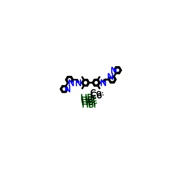 Br.Br.Br.Br.Cc1cc(-c2cc(C)c(N=Cc3cccc(-c4ccccn4)n3)c(C)c2)cc(C)c1N=Cc1cccc(-c2ccccn2)n1.[Co].[Co]